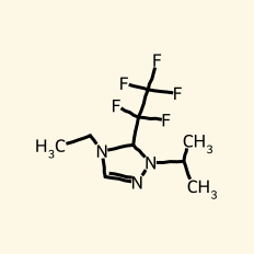 CCN1C=NN(C(C)C)C1C(F)(F)C(F)(F)F